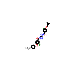 O=C(NCCNC(=O)c1ccc(O[C@H]2CC[C@@H](C(=O)O)CC2)c(F)c1)c1ccc(OCC2CC2)c(F)c1